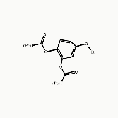 CCCCCC(=O)Oc1ccc(OCC)cc1OC(=O)CCCCC